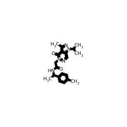 Cc1ccc(C(C)NC(=O)Cn2ncc3c(c(C)nn3C(C)C)c2=O)cc1